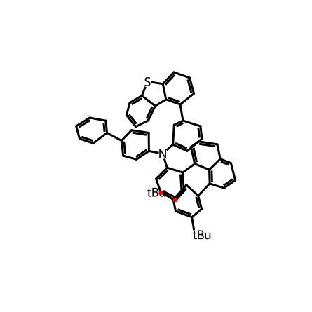 CC(C)(C)c1cc(-c2cccc3cccc(-c4ccccc4N(c4ccc(-c5ccccc5)cc4)c4cccc(-c5cccc6sc7ccccc7c56)c4)c23)cc(C(C)(C)C)c1